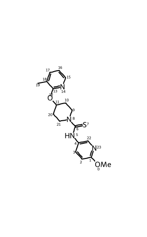 COc1ccc(NC(=S)N2CCC(Oc3ncccc3C)CC2)cn1